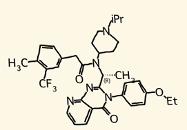 CCOc1ccc(-n2c([C@@H](C)N(C(=O)Cc3ccc(C)c(C(F)(F)F)c3)C3CCN(C(C)C)CC3)nc3ncccc3c2=O)cc1